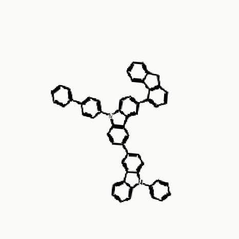 c1ccc(-c2ccc(-n3c4ccc(-c5ccc6c(c5)c5ccccc5n6-c5ccccc5)cc4c4cc(-c5cccc6c5-c5ccccc5C6)ccc43)cc2)cc1